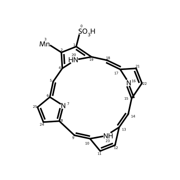 O=S(=O)(O)c1[c]([Mn])c2cc3nc(cc4ccc(cc5nc(cc1[nH]2)C=C5)[nH]4)C=C3